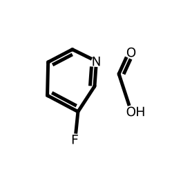 Fc1cccnc1.O=CO